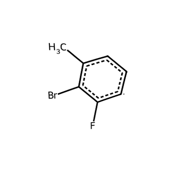 Cc1cc[c]c(F)c1Br